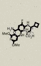 COc1cc(Nc2nc(N[C@@H](C3CCC3)[C@H](C)NC(=O)O)c(F)cc2C(N)=O)cc(OC)n1